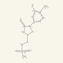 Cc1ccc(N2CC(COS(C)(=O)=O)OC2=O)cc1F